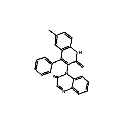 C=C1Nc2ccc(C)cc2C(c2ccccc2)=C1N1C(=C)C=Nc2ccccc21